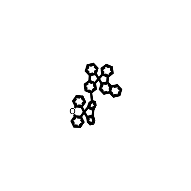 c1ccc2c(c1)Oc1ccccc1C21c2ccccc2-c2ccc(-c3ccc4c(c3)C3(c5ccccc5-4)c4ccccc4-c4c3ccc3ccccc43)cc21